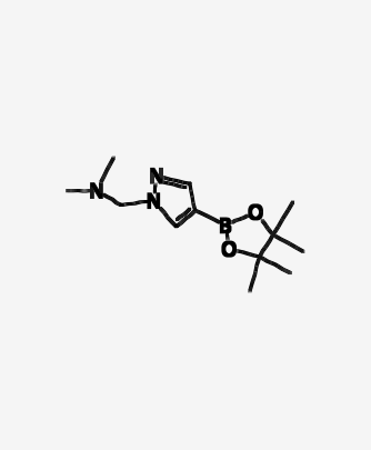 CN(C)Cn1cc(B2OC(C)(C)C(C)(C)O2)cn1